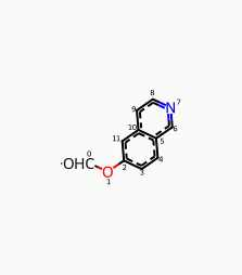 O=[C]Oc1ccc2cnccc2c1